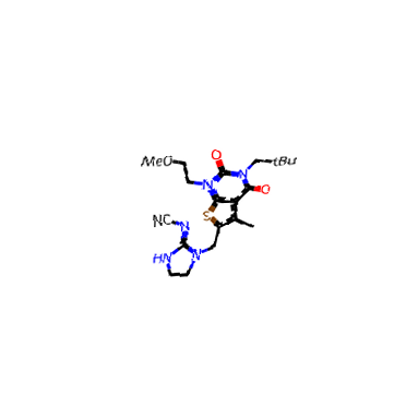 COCCn1c(=O)n(CC(C)(C)C)c(=O)c2c(C)c(CN3CCNC3=NC#N)sc21